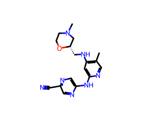 Cc1cnc(Nc2cnc(C#N)cn2)cc1NC[C@H]1CN(C)CCO1